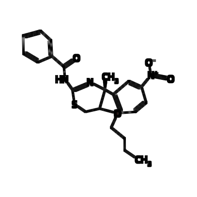 CCCCOC1CSC(NC(=O)c2ccccc2)=N[C@]1(C)c1cc([N+](=O)[O-])ccc1F